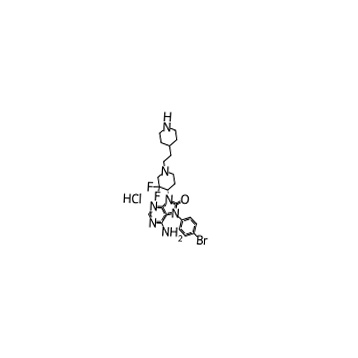 Cl.Nc1ncnc2c1n(-c1ccc(Br)cc1)c(=O)n2[C@H]1CCN(CCC2CCNCC2)CC1(F)F